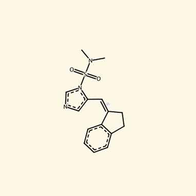 CN(C)S(=O)(=O)n1cncc1/C=C1/CCc2ccccc21